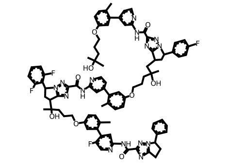 Cc1ccc(OCCCC(C)(C)O)cc1-c1ccnc(NC(=O)c2nc3n(n2)C(c2ccc(F)cc2)CC3CC(C)(O)CCCOc2ccc(C)c(-c3ccnc(NC(=O)c4nc5n(n4)C(c4c(F)cccc4F)CC5C(C)(O)CCCOc4ccc(C)c(-c5cc(NC(=O)c6nc7n(n6)C(c6ccccc6)CC7)ncc5F)c4)c3)c2)c1